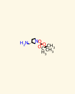 CC(C)(C)OC(=O)ON1CC[C@@H](CN)C1